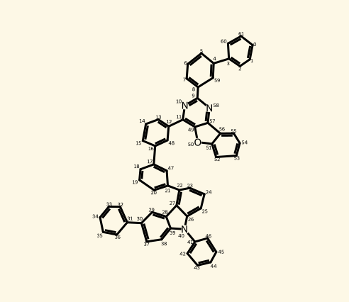 c1ccc(-c2cccc(-c3nc(-c4cccc(-c5cccc(-c6cccc7c6c6cc(-c8ccccc8)ccc6n7-c6ccccc6)c5)c4)c4oc5ccccc5c4n3)c2)cc1